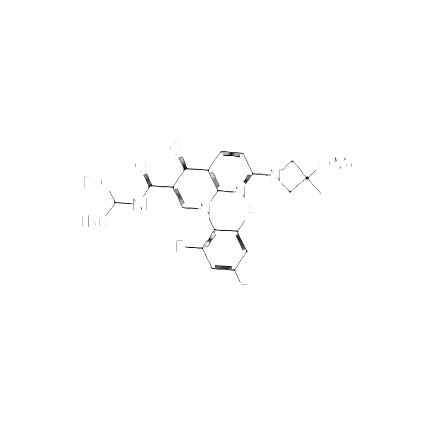 COC1(C)CN(c2ccc3c(=O)c(C(=O)NC(C(C)(C)C)C(F)(F)F)cn(-c4c(F)cc(F)cc4F)c3n2)C1